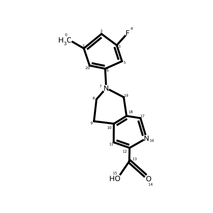 Cc1cc(F)cc(N2CCc3cc(C(=O)O)ncc3C2)c1